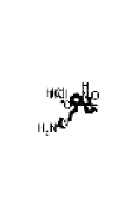 COc1ccc2[nH]c(=O)c3sccc3c2c1C=CCN1CC(N)C1.Cl.Cl